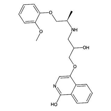 COc1ccccc1OC[C@@H](C)NCC(O)COc1cnc(O)c2ccccc12